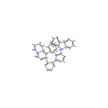 c1ccc2c(c1)-c1cccc(-n3c4ccccc4c4ccccc43)c1-c1ccccc1-c1c-2cnc2ncccc12